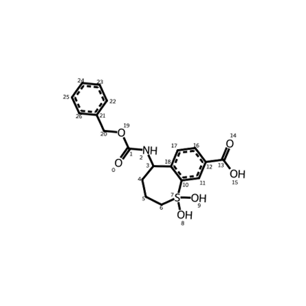 O=C(NC1CCCS(O)(O)c2cc(C(=O)O)ccc21)OCc1ccccc1